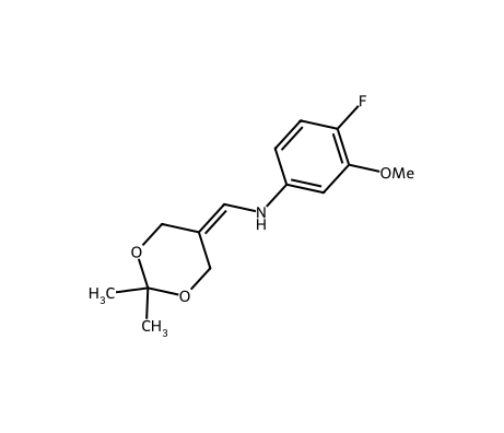 COc1cc(NC=C2COC(C)(C)OC2)ccc1F